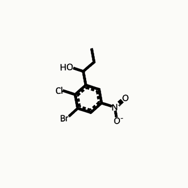 CCC(O)c1cc([N+](=O)[O-])cc(Br)c1Cl